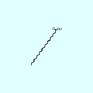 CCC=CCCCCC=CCCCC=CCCCCC(=O)O